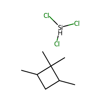 CC1CC(C)C1(C)C.Cl[SiH](Cl)Cl